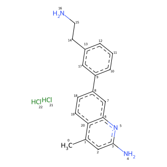 Cc1cc(N)nc2cc(-c3cccc(CCN)c3)ccc12.Cl.Cl